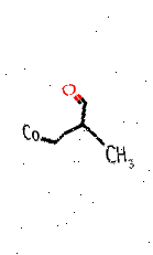 CC(C=O)[CH2][Co]